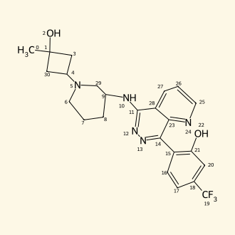 CC1(O)CC(N2CCCC(Nc3nnc(-c4ccc(C(F)(F)F)cc4O)c4ncccc34)C2)C1